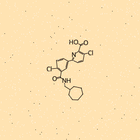 O=C(NCC1CCCCCC1)c1cc(-c2ccc(Cl)c(C(=O)O)n2)ccc1Cl